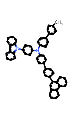 Cc1ccc(-c2ccc(N(c3ccc(-c4ccc(-c5cc6ccccc6c6ccccc56)cc4)cc3)c3ccc(-n4c5ccccc5c5ccccc54)cc3)cc2)cc1